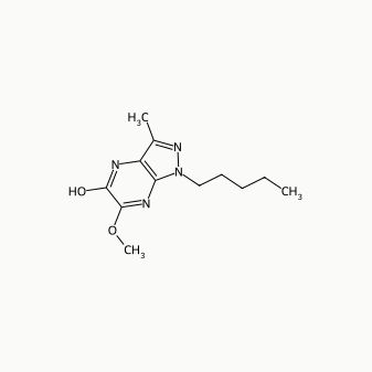 CCCCCn1nc(C)c2nc(O)c(OC)nc21